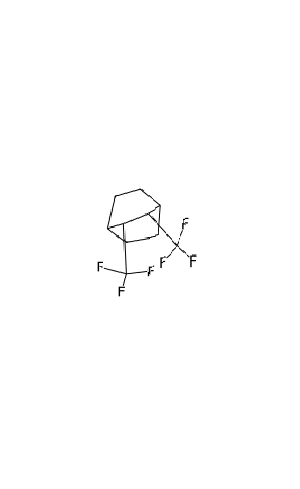 FC(F)(F)C1C2CCC(CC2)C1C(F)(F)F